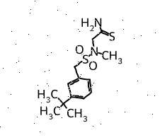 CN(CC(N)=S)S(=O)(=O)Cc1cccc(C(C)(C)C)c1